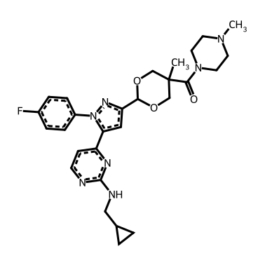 CN1CCN(C(=O)C2(C)COC(c3cc(-c4ccnc(NCC5CC5)n4)n(-c4ccc(F)cc4)n3)OC2)CC1